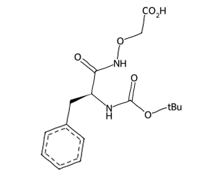 CC(C)(C)OC(=O)N[C@@H](Cc1ccccc1)C(=O)NOCC(=O)O